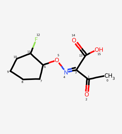 CC(=O)C(=NOC1CCCCC1F)C(=O)O